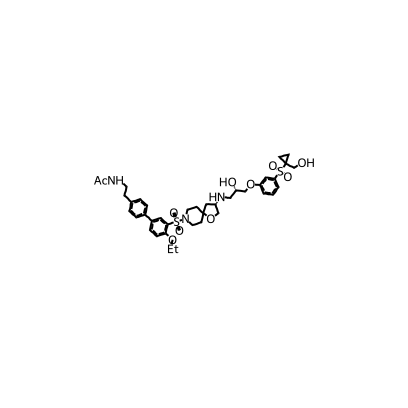 CCOc1ccc(-c2ccc(CCNC(C)=O)cc2)cc1S(=O)(=O)N1CCC2(CC1)C[C@H](NC[C@H](O)COc1cccc(S(=O)(=O)C3(CO)CC3)c1)CO2